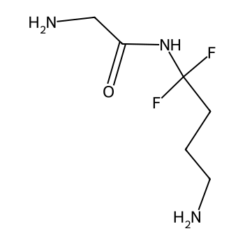 NCCCC(F)(F)NC(=O)CN